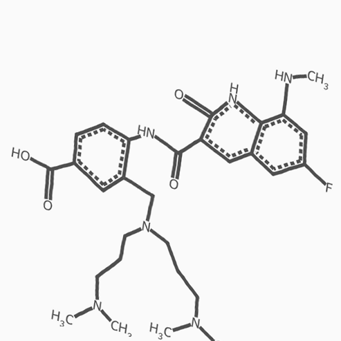 CNc1cc(F)cc2cc(C(=O)Nc3ccc(C(=O)O)cc3CN(CCCN(C)C)CCCN(C)C)c(=O)[nH]c12